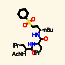 CCCC[C@@H](/C=C/S(=O)(=O)c1ccccc1)NC(=O)C(CC(C)C)NC(=O)C(CC(C)C)NC(C)=O